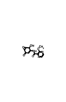 COc1nccnc1C(=O)NC1=CC(=O)C2OC2C1O